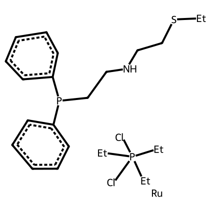 CCP(Cl)(Cl)(CC)CC.CCSCCNCCP(c1ccccc1)c1ccccc1.[Ru]